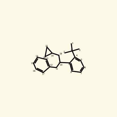 CC(C)(C)c1ccccc1[C](Cc1ccccc1)CC1CC1